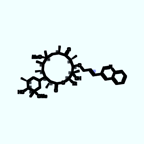 CC[C@H]1OC(=O)[C@H](C)[C@@H](C2C[C@@H](C)[C@H](O)[C@](C)(OC)C2)[C@H](C)[C@@H](C)[C@](C)(OC)C[C@@H](C)C(=O)[C@H](C)[C@@H](OC/C=C/c2cnc3ccccc3c2)[C@]1(C)O